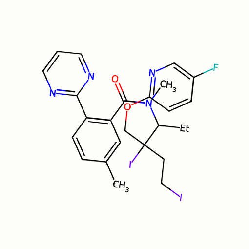 CCC(N(C)C(=O)c1cc(C)ccc1-c1ncccn1)C(I)(CCI)COc1ccc(F)cn1